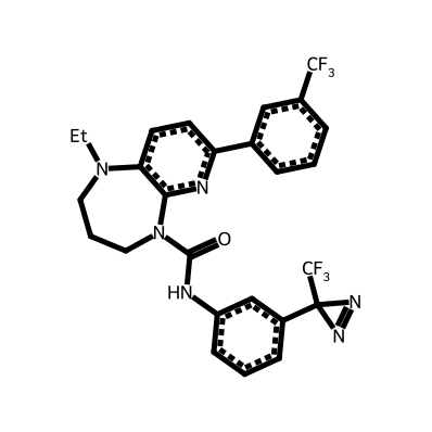 CCN1CCCN(C(=O)Nc2cccc(C3(C(F)(F)F)N=N3)c2)c2nc(-c3cccc(C(F)(F)F)c3)ccc21